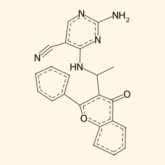 CC(Nc1nc(N)ncc1C#N)c1c(-c2ccccc2)oc2ccccc2c1=O